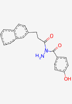 NN(C(=O)CCc1ccc2ccccc2c1)C(=O)c1ccc(O)cc1